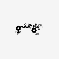 CC(=O)Nc1cc(O)ccc1[As](=O)(O)OC(=O)CC(=O)CCc1cccc(C(F)(F)F)c1